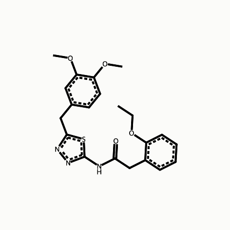 CCOc1ccccc1CC(=O)Nc1nnc(Cc2ccc(OC)c(OC)c2)s1